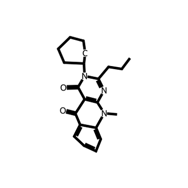 CCCc1nc2c(c(=O)c3ccccc3n2C)c(=O)n1C1CCCCC1